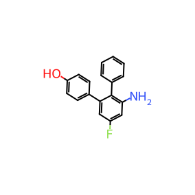 Nc1cc(F)cc(-c2ccc(O)cc2)c1-c1ccccc1